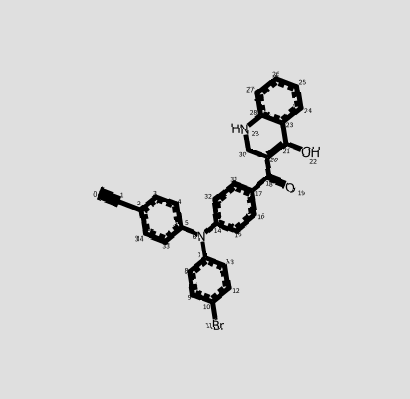 C#Cc1ccc(N(c2ccc(Br)cc2)c2ccc(C(=O)C3=C(O)c4ccccc4NC3)cc2)cc1